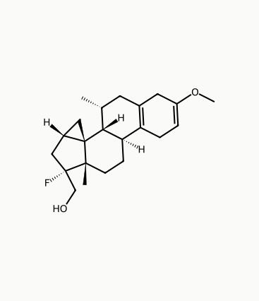 COC1=CCC2=C(C1)C[C@@H](C)[C@@H]1[C@@H]2CC[C@]2(C)[C@@](F)(CO)C[C@@H]3C[C@@]312